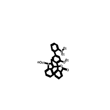 CCCCCCCCn1c(C)c(C2(c3ccc(-c4ccccc4N(CC)CC)cc3OCC)OC(=O)c3ccccc32)c2ccccc21